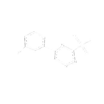 CS(=O)(=O)c1nncc(-c2cccc(F)c2)n1